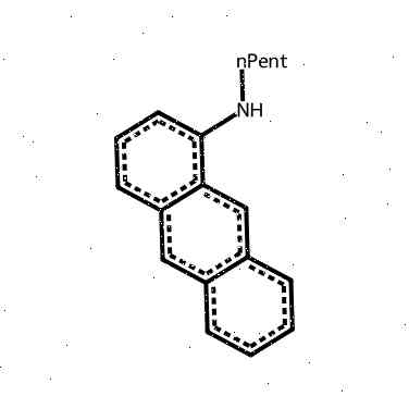 CCCCCNc1cccc2cc3ccccc3cc12